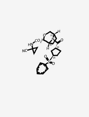 N#CC1(NC(=O)O)CC1.O=C([C@@H]1CC[C@@H](S(=O)(=O)c2ccccc2)C1)N1[C@@H]2CC[C@H]1COC2